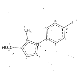 Cc1c(C(=O)O)cnn1-c1ccc(I)cc1